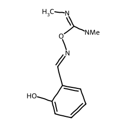 C/N=C(/NC)O/N=C/c1ccccc1O